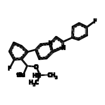 C[SiH](C)OC(c1c(F)cccc1-c1ccc2nc(-c3ccc(F)cc3)cn2c1)C(C)(C)C